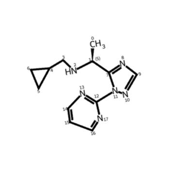 C[C@H](NCC1CC1)c1ncnn1-c1ncccn1